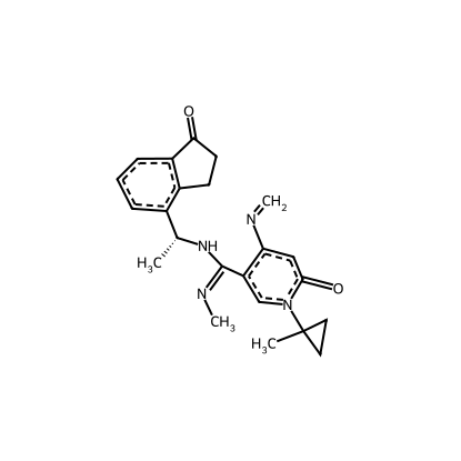 C=Nc1cc(=O)n(C2(C)CC2)cc1/C(=N\C)N[C@H](C)c1cccc2c1CCC2=O